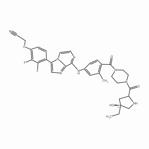 CC[C@@]1(O)CNC(C(=O)N2CCN(C(=O)c3ccc(Nc4nccn5c(-c6ccc(OCC#N)c(F)c6F)cnc45)cc3C)CC2)C1